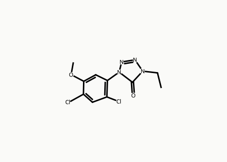 CCn1nnn(-c2cc(OC)c(Cl)cc2Cl)c1=O